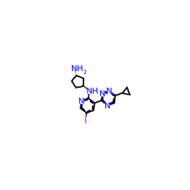 N[C@H]1CC[C@H](Nc2ncc(I)cc2-c2ncc(C3CC3)nn2)C1